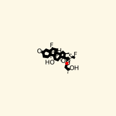 C[C@@H]1C[C@H]2[C@@H]3C[C@H](F)C4=CC(=O)C=C[C@]4(C)[C@@]3(F)[C@@H](O)C[C@]2(C)[C@@]1(OC(=O)C[C@@H](C)O)C(=O)SCF